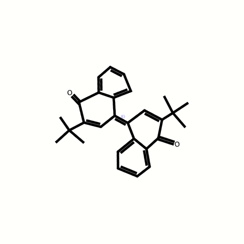 CC(C)(C)C1=C/C(=C2/C=C(C(C)(C)C)C(=O)c3ccccc32)c2ccccc2C1=O